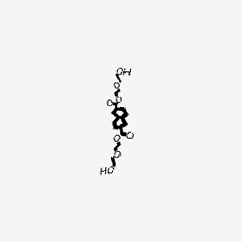 O=C(OCCOCCO)c1ccc2cc(C(=O)OCCOCCO)ccc2c1